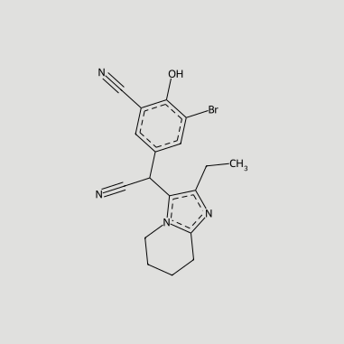 CCc1nc2n(c1C(C#N)c1cc(Br)c(O)c(C#N)c1)CCCC2